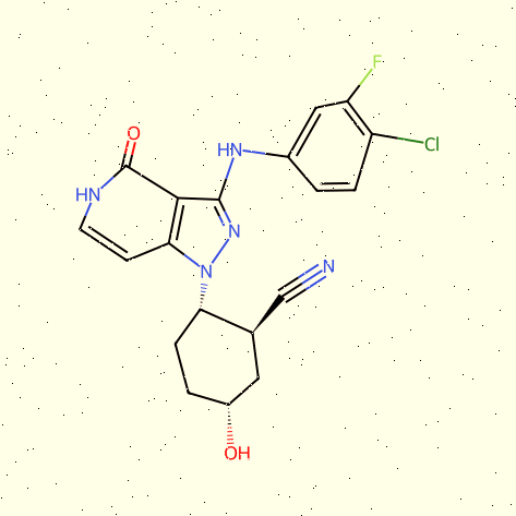 N#C[C@H]1C[C@H](O)CC[C@@H]1n1nc(Nc2ccc(Cl)c(F)c2)c2c(=O)[nH]ccc21